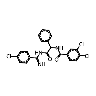 N=C(NC(=O)C(NC(=O)c1ccc(Cl)c(Cl)c1)c1ccccc1)c1ccc(Cl)cc1